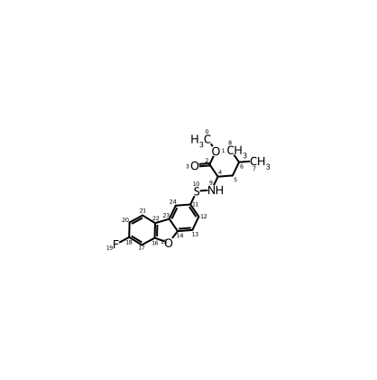 COC(=O)C(CC(C)C)NSc1ccc2oc3cc(F)ccc3c2c1